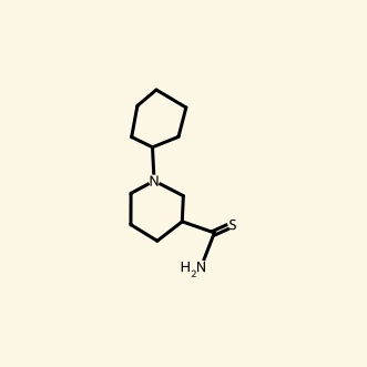 NC(=S)C1CCCN(C2CCCCC2)C1